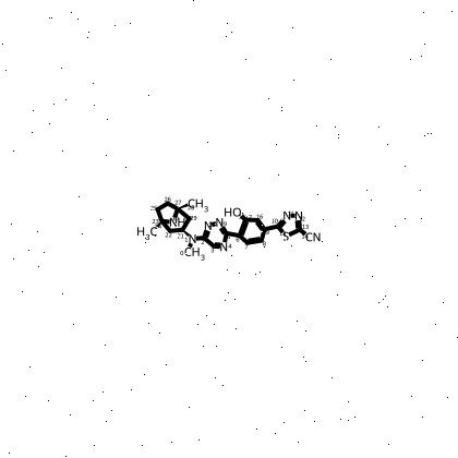 CN(c1cnc(-c2ccc(-c3nnc(C#N)s3)cc2O)nn1)[C@H]1C[C@]2(C)CC[C@](C)(C1)N2